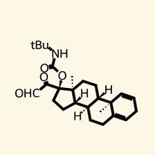 CC(C)(C)NC(=O)O[C@]1(C(=O)C=O)CC[C@H]2[C@@H]3CCC4=CCC=C[C@]4(C)[C@H]3CC[C@@]21C